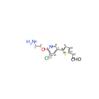 NCCOc1ncc(-c2ccc(CC=O)s2)cc1Cl